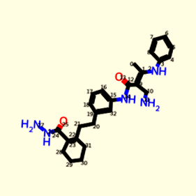 C/C(Nc1ccccc1)=C(/CN)C(=O)Nc1cccc(CCC2=C(C(=O)NN)CCCC2)c1